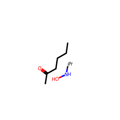 CC(C)NO.CCCCC(C)=O